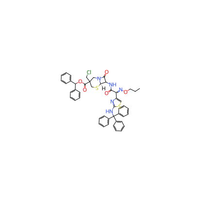 CCCON=C(C(=O)NC1C(=O)N2CC(CCl)(C(=O)OC(c3ccccc3)c3ccccc3)CS[C@H]12)c1csc(NC(c2ccccc2)(c2ccccc2)c2ccccc2)n1